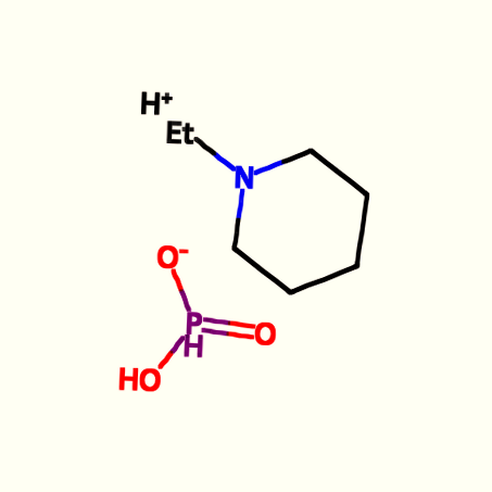 CCN1CCCCC1.O=[PH]([O-])O.[H+]